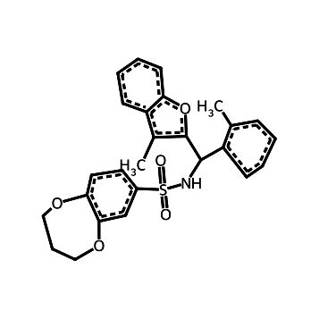 Cc1ccccc1C(NS(=O)(=O)c1ccc2c(c1)OCCCO2)c1oc2ccccc2c1C